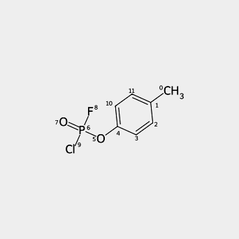 Cc1ccc(OP(=O)(F)Cl)cc1